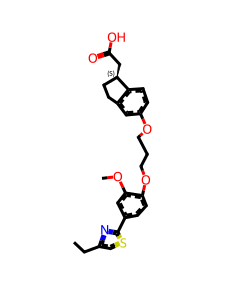 CCc1csc(-c2ccc(OCCCOc3ccc4c(c3)CC[C@H]4CC(=O)O)c(OC)c2)n1